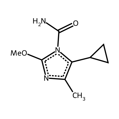 COc1nc(C)c(C2CC2)n1C(N)=O